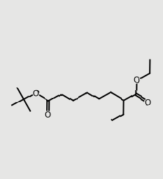 CCOC(=O)C(CC)CCCCCC(=O)OC(C)(C)C